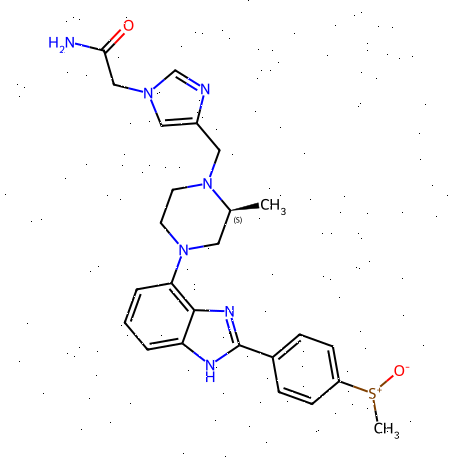 C[C@H]1CN(c2cccc3[nH]c(-c4ccc([S+](C)[O-])cc4)nc23)CCN1Cc1cn(CC(N)=O)cn1